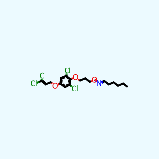 CCCCC/C=N/OCCCOc1c(Cl)cc(OCC=C(Cl)Cl)cc1Cl